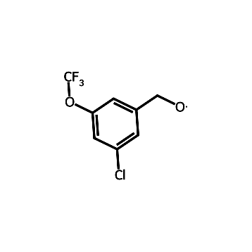 [O]Cc1cc(Cl)cc(OC(F)(F)F)c1